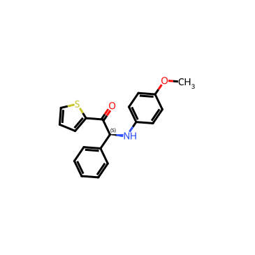 COc1ccc(N[C@H](C(=O)c2cccs2)c2ccccc2)cc1